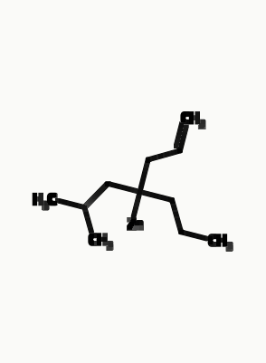 C=CC[C]([Zn])(CCC)CC(C)C